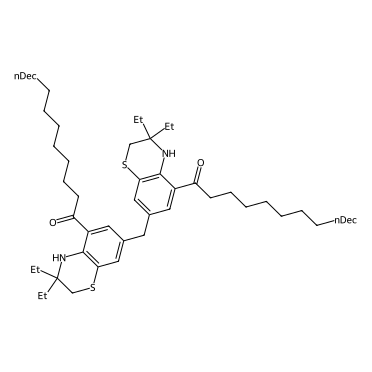 CCCCCCCCCCCCCCCCCC(=O)c1cc(Cc2cc3c(c(C(=O)CCCCCCCCCCCCCCCCC)c2)NC(CC)(CC)CS3)cc2c1NC(CC)(CC)CS2